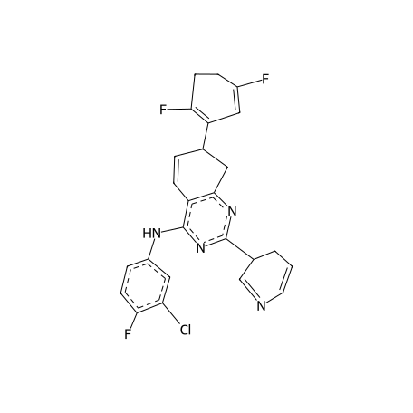 FC1=CC(C2C=Cc3c(nc(C4C=NC=CC4)nc3Nc3ccc(F)c(Cl)c3)C2)=C(F)CC1